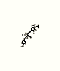 COc1ccc(CNc2[nH]nc(C#Cc3cc4ncn(C5CC5)c4c(F)c3Cl)c2C#N)cc1